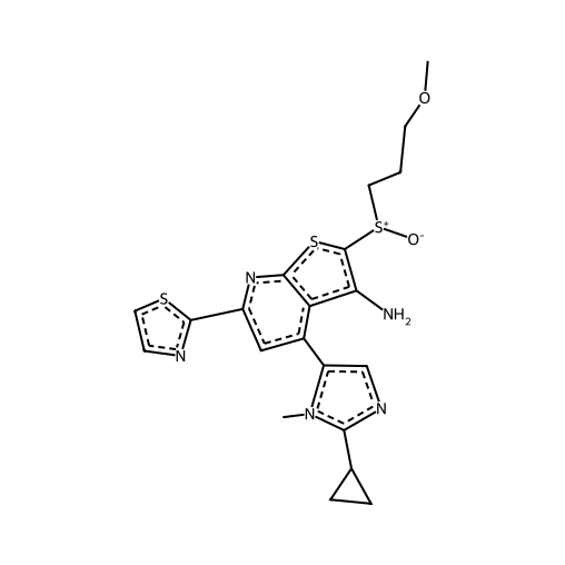 COCCC[S+]([O-])c1sc2nc(-c3nccs3)cc(-c3cnc(C4CC4)n3C)c2c1N